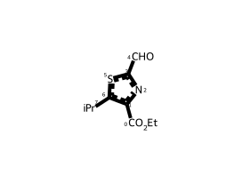 CCOC(=O)c1nc(C=O)sc1C(C)C